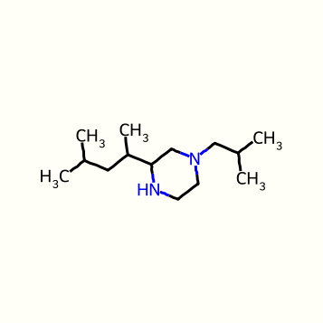 CC(C)CC(C)C1CN(CC(C)C)CCN1